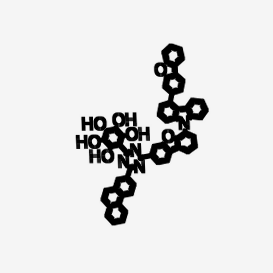 Oc1c(O)c(O)c(-c2nc(-c3ccc4c(ccc5ccccc54)c3)nc(-c3ccc4c(c3)oc3c(-n5c6ccccc6c6c(-c7ccc8c(c7)oc7ccccc78)cccc65)cccc34)n2)c(O)c1O